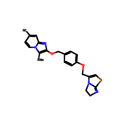 CNc1c(OCc2ccc(OCC3=CSC4=NCCN34)cc2)nc2cc(C#N)ccn12